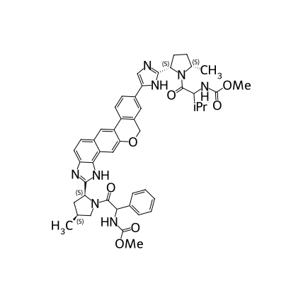 COC(=O)NC(C(=O)N1C[C@@H](C)C[C@H]1c1nc2ccc3cc4c(cc3c2[nH]1)OCc1cc(-c2cnc([C@@H]3CC[C@H](C)N3C(=O)C(NC(=O)OC)C(C)C)[nH]2)ccc1-4)c1ccccc1